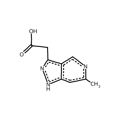 Cc1cc2[nH]nc(CC(=O)O)c2cn1